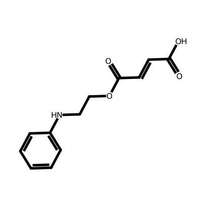 O=C(O)C=CC(=O)OCCNc1ccccc1